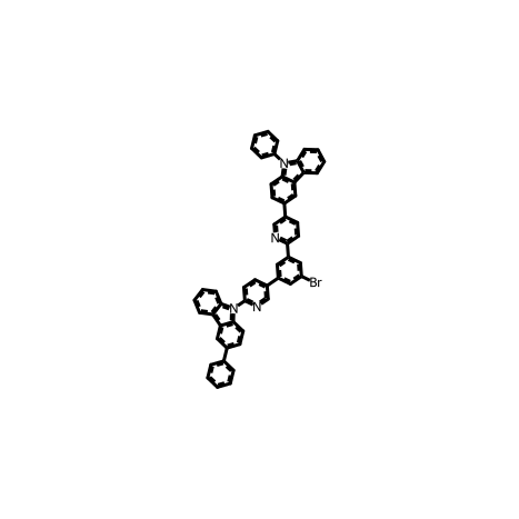 Brc1cc(-c2ccc(-n3c4ccccc4c4cc(-c5ccccc5)ccc43)nc2)cc(-c2ccc(-c3ccc4c(c3)c3ccccc3n4-c3ccccc3)cn2)c1